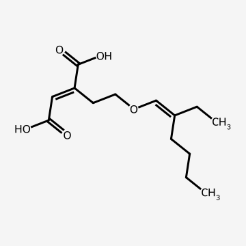 CCCCC(=COCC/C(=C\C(=O)O)C(=O)O)CC